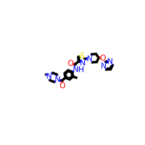 Cc1cc(C(=O)N2CCN(C)CC2)ccc1NC(=O)c1csc(N2CCC(Oc3ncccn3)CC2)n1